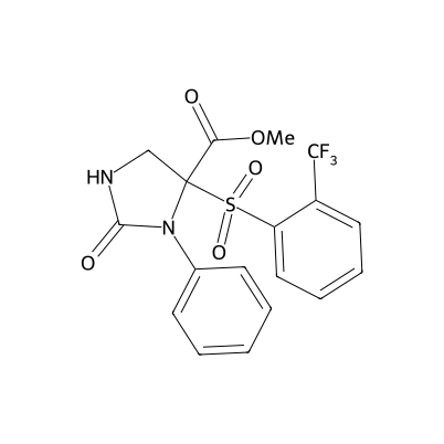 COC(=O)C1(S(=O)(=O)c2ccccc2C(F)(F)F)CNC(=O)N1c1ccccc1